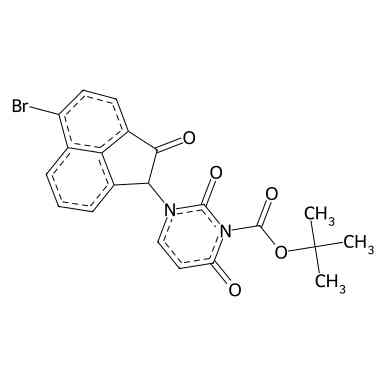 CC(C)(C)OC(=O)n1c(=O)ccn(C2C(=O)c3ccc(Br)c4cccc2c34)c1=O